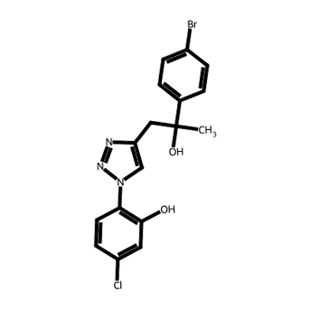 CC(O)(Cc1cn(-c2ccc(Cl)cc2O)nn1)c1ccc(Br)cc1